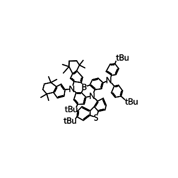 CC(C)(C)c1ccc(N(c2ccc(C(C)(C)C)cc2)c2ccc3c(c2)N(c2cccc4sc5cc(C(C)(C)C)ccc5c24)c2cc(C(C)(C)C)cc4c2B3c2cc3c(cc2N4c2ccc4c(c2)C(C)(C)CCC4(C)C)C(C)(C)CCC3(C)C)cc1